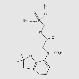 CCOP(=O)(CN[S+]([O-])CN(C(=O)O)c1cccc2c1OC(C)(C)C2)OCC